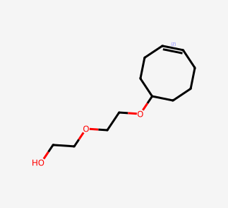 OCCOCCOC1CC/C=C\CCC1